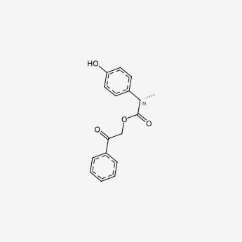 C[C@H](C(=O)OCC(=O)c1ccccc1)c1ccc(O)cc1